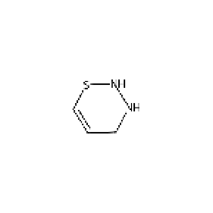 C1=CSNNC1